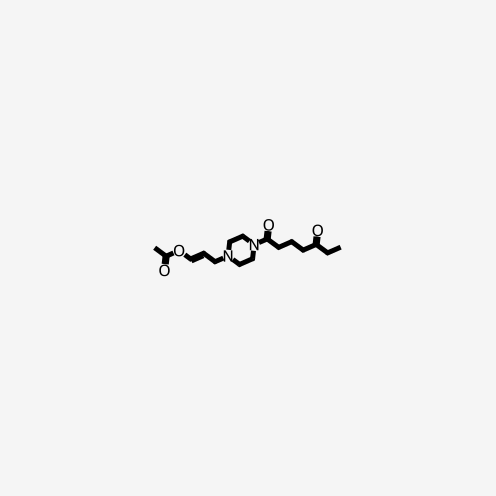 CCC(=O)CCCC(=O)N1CCN(C/C=C/OC(C)=O)CC1